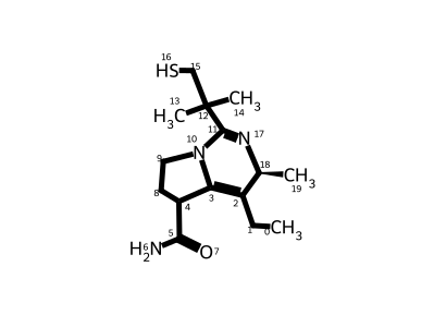 CCC1=C2C(C(N)=O)CCN2C(C(C)(C)CS)=N[C@H]1C